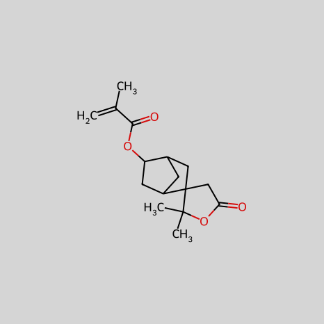 C=C(C)C(=O)OC1CC2CC1CC21CC(=O)OC1(C)C